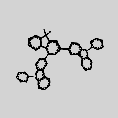 CC1(C)c2ccccc2-c2c(-c3ccc4c(c3)c3ccccc3n4-c3ccccc3)cc(-c3ccc4c(c3)c3ccccc3n4-c3ccccc3)cc21